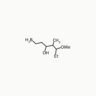 BCCC(O)C(C)C(CC)OC